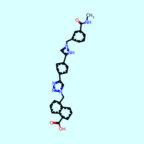 CNC(=O)c1cccc(Cn2cc(-c3ccc(-c4cn(Cc5cccc6c(C(=O)O)cccc56)nn4)cc3)[nH]2)c1